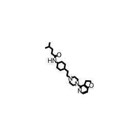 CC(C)CCC(=O)NC1CCC(CCN2CCN(c3nccc4c3CCO4)CC2)CC1